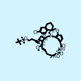 CO[C@@]1(C#CCCO[Si](C)(C)C(C)(C)C)/C=C/C[C@H](C)[C@@H](C)S(=O)(=O)NC(=O)c2ccc3c(c2)N(C[C@@H]2CC[C@H]21)C[C@@]1(CCCc2cc(Cl)ccc21)CO3